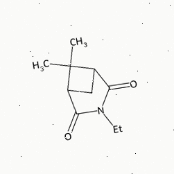 CCN1C(=O)C2CC(C1=O)C2(C)C